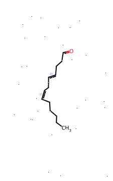 CCCCC/C=C\C/C=C/CCC=O